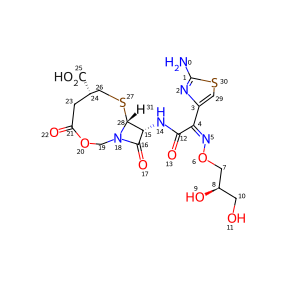 Nc1nc(/C(=N/OC[C@H](O)CO)C(=O)N[C@@H]2C(=O)N3COC(=O)C[C@H](C(=O)O)CS[C@H]23)cs1